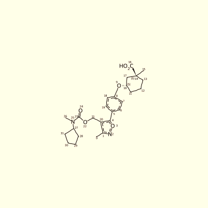 Cc1noc(-c2ccc(O[C@H]3CCC[C@](C)(C(=O)O)C3)cc2)c1COC(=O)N(C)C1CCCC1